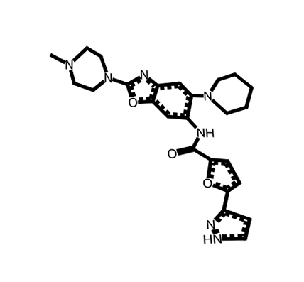 CN1CCN(c2nc3cc(N4CCCCC4)c(NC(=O)c4ccc(-c5cc[nH]n5)o4)cc3o2)CC1